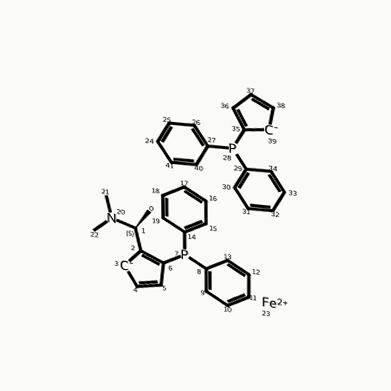 C[C@@H](c1[cH-]ccc1P(c1ccccc1)c1ccccc1)N(C)C.[Fe+2].c1ccc(P(c2ccccc2)c2ccc[cH-]2)cc1